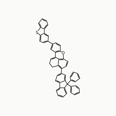 C1=C2c3cc(-c4ccc5sc6ccccc6c5c4)ccc3Oc3ccc(-c4ccc5c(c4)C(c4ccccc4)(c4ccccc4)c4ccccc4-5)c(c32)CC1